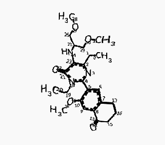 CCc1nc(-c2cc3c(cc2OC)C(=O)CCC3)n(CC)c(=O)c1NC(COC)COC